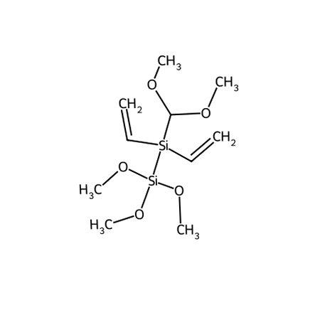 C=C[Si](C=C)(C(OC)OC)[Si](OC)(OC)OC